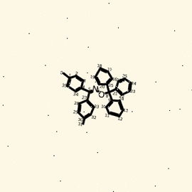 Cc1ccc(C(=NOC(c2ccccc2)(c2ccccc2)c2ccccc2)c2ccc(C)cc2)cc1